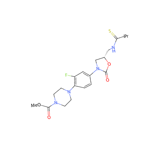 COC(=O)N1CCN(c2ccc(N3C[C@H](CNC(=S)C(C)C)OC3=O)cc2F)CC1